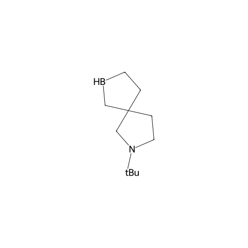 CC(C)(C)N1CCC2(CBCC2)C1